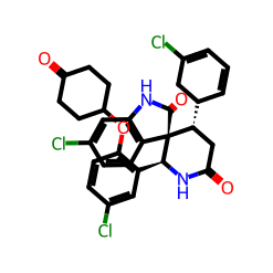 O=C1CCC(Oc2ccc(Cl)cc2[C@@H]2NC(=O)C[C@@H](C3C=CC=C(Cl)C3)[C@]23C(=O)Nc2cc(Cl)ccc23)CC1